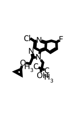 CC(C)(O)Cn1c(COC2CC2)nc2c(Cl)nc3c(c21)C=CC(F)C3